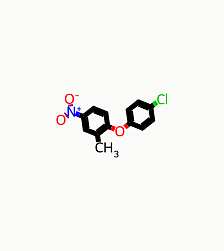 Cc1cc([N+](=O)[O-])ccc1Oc1ccc(Cl)cc1